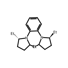 CCC1CC[C@H](CC)N1c1ccccc1N1C(CC)CC[C@@H]1CC